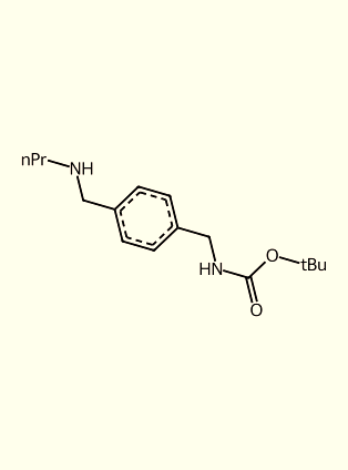 CCCNCc1ccc(CNC(=O)OC(C)(C)C)cc1